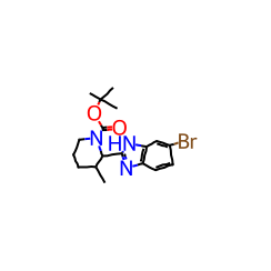 CC1CCCN(C(=O)OC(C)(C)C)C1c1nc2ccc(Br)cc2[nH]1